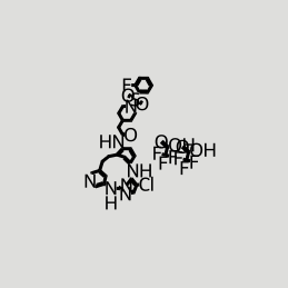 O=C(CC1CCN(S(=O)(=O)c2ccccc2F)CC1)Nc1ccc2cc1CCc1cncc(c1)Nc1ncc(Cl)c(n1)N2.O=C(O)C(F)(F)F.O=C(O)C(F)(F)F